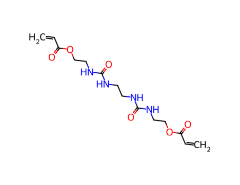 C=CC(=O)OCCNC(=O)NCCNC(=O)NCCOC(=O)C=C